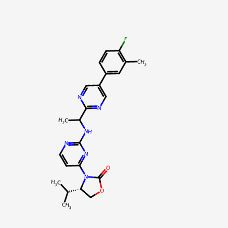 Cc1cc(-c2cnc(C(C)Nc3nccc(N4C(=O)OC[C@@H]4C(C)C)n3)nc2)ccc1F